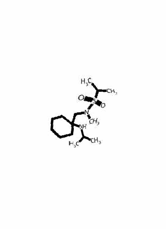 CC(C)NC1(CN(C)S(=O)(=O)C(C)C)CCCCC1